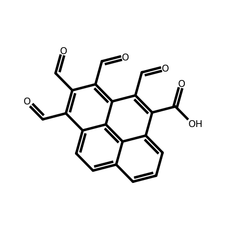 O=Cc1c(C=O)c2ccc3cccc4c(C(=O)O)c(C=O)c(c1C=O)c2c34